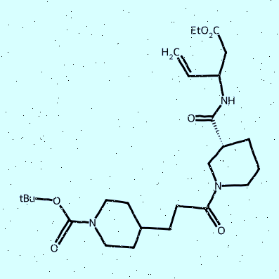 C=CC(CC(=O)OCC)NC(=O)[C@@H]1CCCN(C(=O)CCC2CCN(C(=O)OC(C)(C)C)CC2)C1